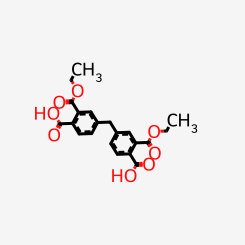 CCOC(=O)c1cc(Cc2ccc(C(=O)O)c(C(=O)OCC)c2)ccc1C(=O)O